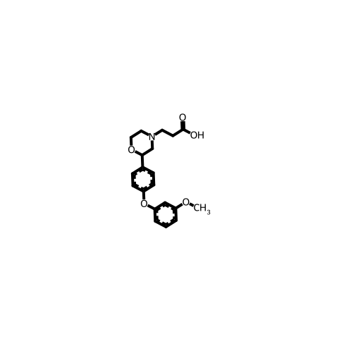 COc1cccc(Oc2ccc(C3CN(CCC(=O)O)CCO3)cc2)c1